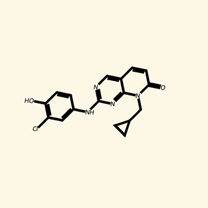 O=c1ccc2cnc(Nc3ccc(O)c(Cl)c3)nc2n1CC1CC1